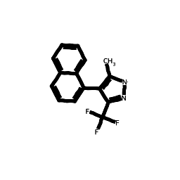 CC1=C(c2cccc3ccccc23)C(C(F)(F)F)=N[N]1